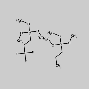 CCC[Si](OC)(OC)OC.CO[Si](CCC(F)(F)F)(OC)OC